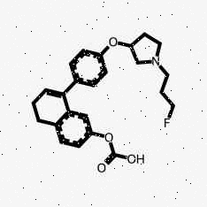 O=C(O)Oc1ccc2c(c1)C(c1ccc(OC3CCN(CCCF)C3)cc1)=CCC2